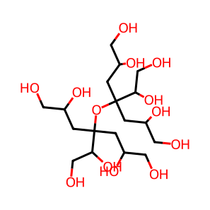 OCC(O)CC(CC(O)CO)(OC(CC(O)CO)(CC(O)CO)C(O)CO)C(O)CO